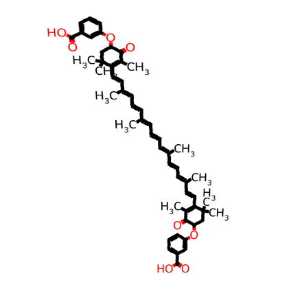 CC1=C(/C=C/C(C)=C/C=C/C(C)=C/C=C/C=C(C)/C=C/C=C(C)/C=C/C2=C(C)C(=O)C(Oc3cccc(C(=O)O)c3)CC2(C)C)C(C)(C)CC(Oc2cccc(C(=O)O)c2)C1=O